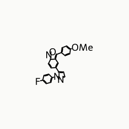 COc1ccc(-c2onc3ccc(-c4ccnn4-c4ccc(F)cc4)cc23)cc1